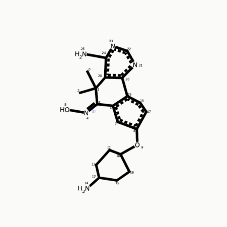 CC1(C)/C(=N\O)c2cc(OC3CCC(N)CC3)ccc2-c2ncnc(N)c21